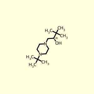 CC(C)(C)[C@@H](O)CN1CCN(C(C)(C)C)CC1